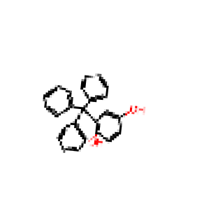 Oc1ccc(O)c(C(c2ccccc2)(c2ccccc2)c2ccccc2)c1